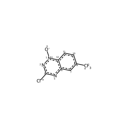 [O-][n+]1nc(Cl)nc2cc(C(F)(F)F)ccc21